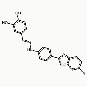 Oc1ccc(C=NNc2ccc(-c3cn4cc(I)ccc4n3)cc2)cc1O